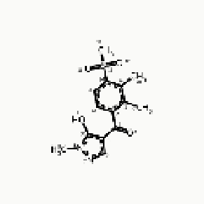 Cc1c(C(=O)c2cnn(C)c2O)ccc(S(C)(=O)=O)c1C